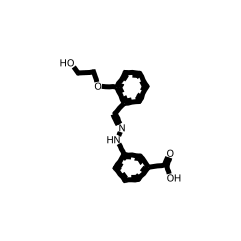 O=C(O)c1cccc(N/N=C/c2ccccc2OCCO)c1